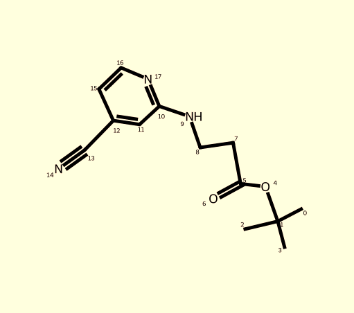 CC(C)(C)OC(=O)CCNc1cc(C#N)ccn1